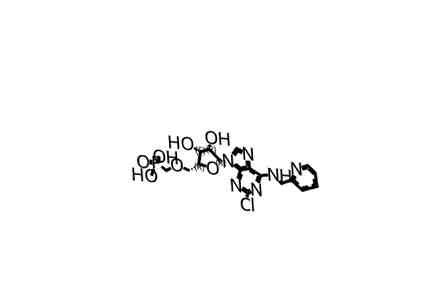 O=P(O)(O)COC[C@H]1O[C@@H](n2cnc3c(NCc4ccccn4)nc(Cl)nc32)[C@H](O)[C@@H]1O